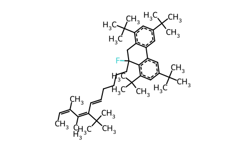 C\C=C(C)/C(C)=C(\C=C\CCCCC1(F)Cc2c(cc(C(C)(C)C)cc2C(C)(C)C)-c2cc(C(C)(C)C)cc(C(C)(C)C)c21)C(C)(C)C